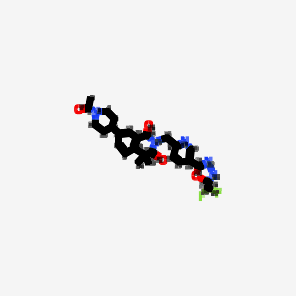 CC(=O)N1CCC(c2ccc3c(c2)C(=O)N(Cc2ccc(-c4nnc(C(F)F)o4)cn2)C(=O)C3(C)C)CC1